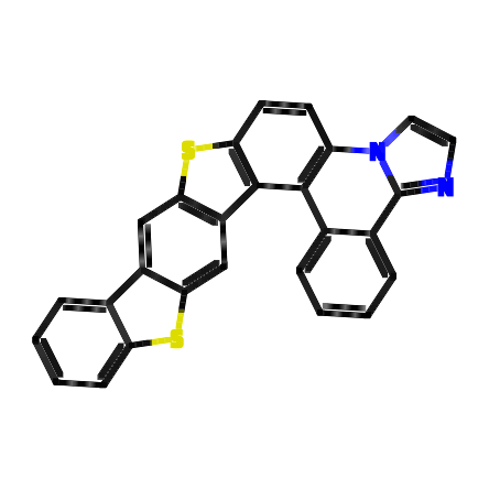 c1ccc2c(c1)sc1cc3c(cc12)sc1ccc2c(c4ccccc4c4nccn24)c13